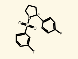 O=S(=O)(c1cccc(F)c1)N1CCC[C@H]1c1ccc(F)cc1